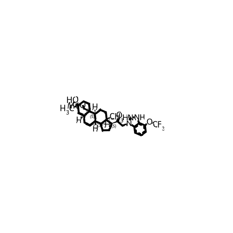 COC[C@]12CC[C@@](C)(O)C[C@@H]1CC[C@H]1[C@@H]3CC[C@H](C(=O)CN4NNc5c(OC(F)(F)F)cccc54)[C@@]3(C)CC[C@@H]12